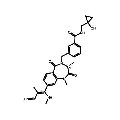 CN/C(=C(/C)C=N)c1ccc2c(c1)N(C)C(=O)[C@@H](C)N(Cc1cccc(C(=O)NCC3(O)CC3)c1)C2=O